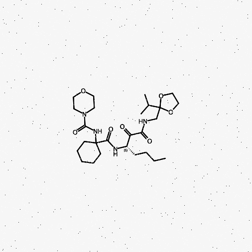 CCCC[C@H](NC(=O)C1(NC(=O)N2CCOCC2)CCCCC1)C(=O)C(=O)NCC1(C(C)C)OCCO1